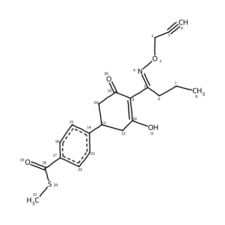 C#CCON=C(CCC)C1=C(O)CC(c2ccc(C(=O)SC)cc2)CC1=O